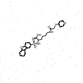 O=C(CSc1ccncc1)NCCCCC(NS(=O)(=O)c1ccc2oc3ccccc3c2c1)C(=O)O